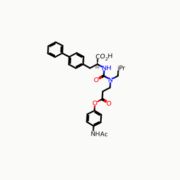 CC(=O)Nc1ccc(OC(=O)CCN(CC(C)C)C(=O)N[C@@H](Cc2ccc(-c3ccccc3)cc2)C(=O)O)cc1